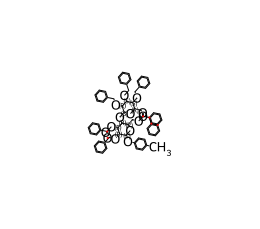 Cc1ccc(O[C@@H]2O[C@H](COC(=O)c3ccccc3)[C@@H](O[C@@H]3O[C@H](COCc4ccccc4)[C@H](OCc4ccccc4)[C@H](OCc4ccccc4)[C@H]3OCc3ccccc3)[C@H](OC(=O)c3ccccc3)[C@H]2OC(=O)c2ccccc2)cc1